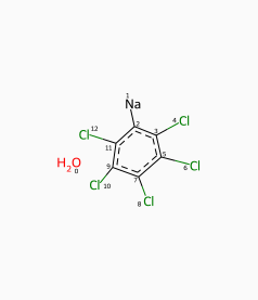 O.[Na][c]1c(Cl)c(Cl)c(Cl)c(Cl)c1Cl